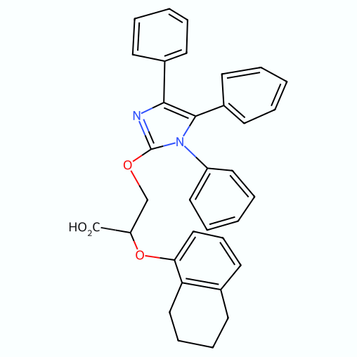 O=C(O)C(COc1nc(-c2ccccc2)c(-c2ccccc2)n1-c1ccccc1)Oc1cccc2c1CCCC2